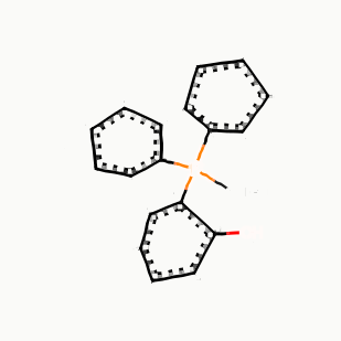 CCCCCCC[P+](c1ccccc1)(c1ccccc1)c1ccccc1O.[I-]